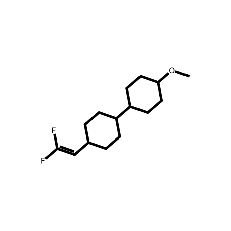 COC1CCC(C2CCC(C=C(F)F)CC2)CC1